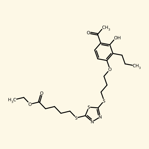 CCCc1c(OCCCSc2nnc(SCCCCC(=O)OCC)s2)ccc(C(C)=O)c1O